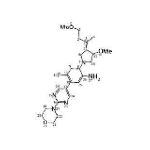 COCCN(C)C1CN(c2cc(F)c(-c3cnc(N4CCOCC4)nc3)cc2N)CC1OC